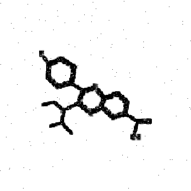 CCN(c1nc2cc(C(=O)O)ccc2nc1-c1ccc(F)cc1)C(C)C